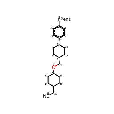 CCCCCc1ccc([C@H]2CC[C@H](CO[C@H]3CC[C@H](CC#N)CC3)CC2)cc1